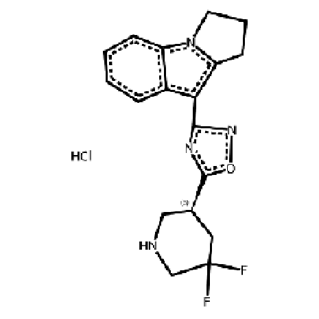 Cl.FC1(F)CNC[C@@H](c2nc(-c3c4n(c5ccccc35)CCC4)no2)C1